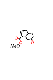 COOC(=O)c1cccc2c1CC(=O)CC2